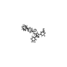 O=C(Cn1cc(-c2cccc(F)c2)nc1-c1ccccc1)N1CCN(c2ncccn2)CC1